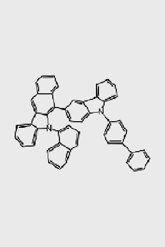 c1ccc(-c2ccc(-n3c4ccccc4c4cc(-c5c6ccccc6cc6c7ccccc7n(-c7cccc8ccccc78)c56)ccc43)cc2)cc1